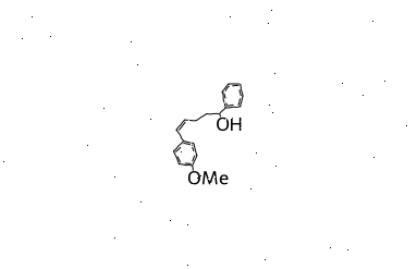 COc1ccc(/C=C\CCC(O)c2ccccc2)cc1